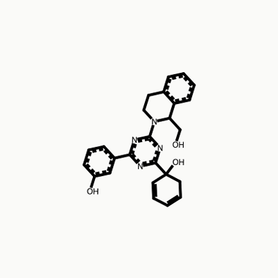 OCC1c2ccccc2CCN1c1nc(-c2cccc(O)c2)nc(C2(O)C=CC=CC2)n1